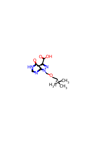 C[Si](C)(C)CCOCn1nc(C(=O)O)c2c(=O)[nH]cnc21